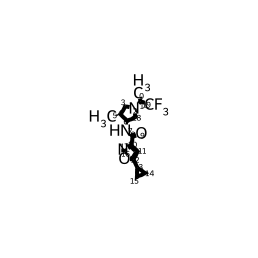 CC(N1C[C@@H](C)[C@H](NC(=O)c2cc(C3CC3)on2)C1)C(F)(F)F